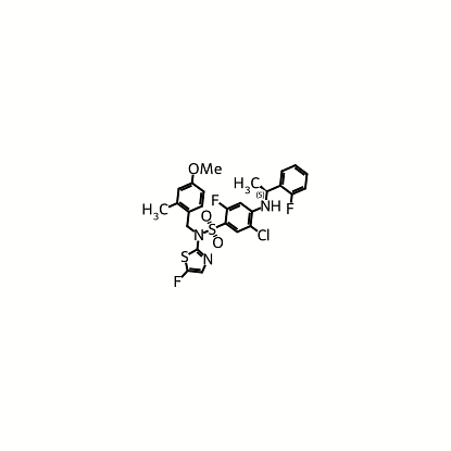 COc1ccc(CN(c2ncc(F)s2)S(=O)(=O)c2cc(Cl)c(N[C@@H](C)c3ccccc3F)cc2F)c(C)c1